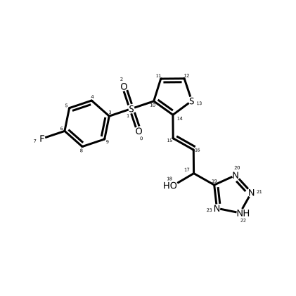 O=S(=O)(c1ccc(F)cc1)c1ccsc1C=CC(O)c1nn[nH]n1